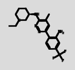 CCN1CCC[C@@H](Nc2nnc(-c3ccc(C(F)(F)F)cc3N)cc2C)C1